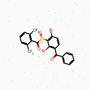 O=C(c1ccccc1)c1ccc(Br)c([PH](=O)C(=O)c2c(C(F)(F)F)cccc2C(F)(F)F)c1Br